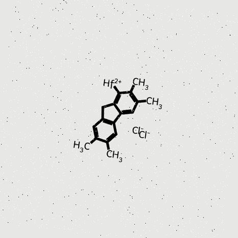 Cc1cc2c(cc1C)-c1cc(C)c(C)[c]([Hf+2])c1C2.[Cl-].[Cl-]